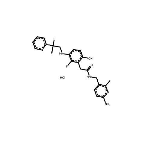 Cc1nc(N)ccc1CNC(=O)Cc1c(C#N)ccc(NCC(F)(F)c2ccccn2)c1F.Cl